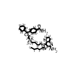 CCCCc1nc2c(N)nc3cccnc3c2n1CCCC[N+](C)(C)CCOC(c1ccccc1)c1ccc(C(N)=O)cc1